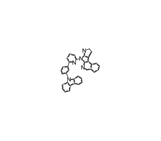 C1=c2c(n(-c3cccc(-c4cccc(-n5c6ccccc6c6ccccc65)c4)n3)c3ncc4ccccc4c23)=NC1